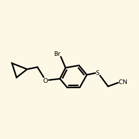 N#CCSc1ccc(OCC2CC2)c(Br)c1